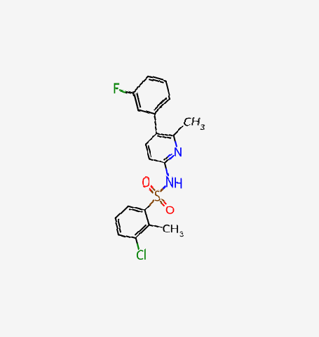 Cc1nc(NS(=O)(=O)c2cccc(Cl)c2C)ccc1-c1cccc(F)c1